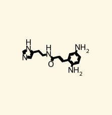 Nc1ccc(N)c(/C=C/C(=O)NCCc2cnc[nH]2)c1